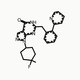 CC1(F)CCC(n2ncc3c(=O)[nH]c(Cc4ccccc4-c4ccccn4)nc32)CC1